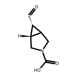 O=C[C@@H]1C2CN(C(=O)O)C[C@@H]21